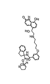 O=C(NC1(C(=O)O[C@H]2CN3CCC2CC3)CCc2ccccc21)c1cccc(OCCCCNC[C@H](O)c2ccc(O)c3[nH]c(=O)ccc23)c1